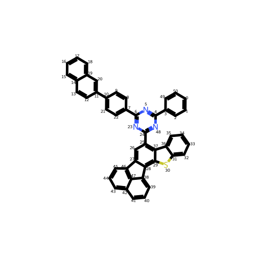 c1ccc(-c2nc(-c3ccc(-c4ccc5ccccc5c4)cc3)nc(-c3cc4c(c5sc6ccccc6c35)-c3cccc5cccc-4c35)n2)cc1